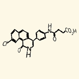 O=C(O)CCC(=O)Nc1ccc(-c2c[nH]c(=O)c3c2ccc2ccc(Cl)cc23)cc1